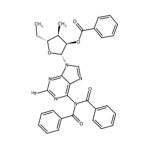 CC[C@H]1O[C@@H](n2cnc3c(N(C(=O)c4ccccc4)C(=O)c4ccccc4)nc([18F])nc32)[C@H](OC(=O)c2ccccc2)[C@@H]1C